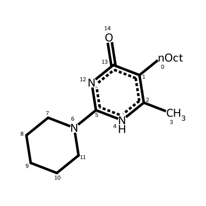 CCCCCCCCc1c(C)[nH]c(N2CCCCC2)nc1=O